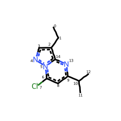 CCc1cnn2c(Cl)cc(C(C)C)nc12